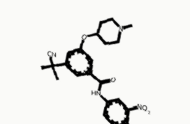 Cc1ccc(NC(=O)c2cc(OC3CCN(C)CC3)cc(C(C)(C)C#N)c2)cc1[N+](=O)[O-]